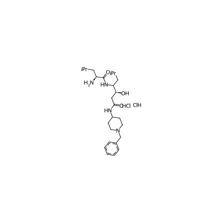 CC(C)CC(NC(=O)[C@@H](N)CC(C)C)[C@@H](O)CC(=O)NC1CCN(Cc2ccccc2)CC1.Cl.Cl